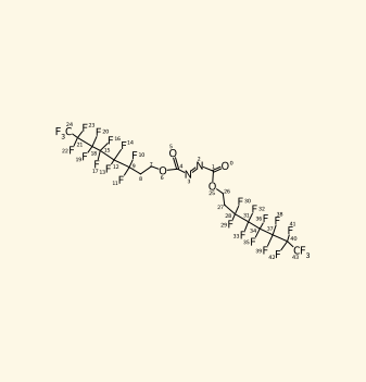 O=C(N=NC(=O)OCCC(F)(F)C(F)(F)C(F)(F)C(F)(F)C(F)(F)C(F)(F)F)OCCC(F)(F)C(F)(F)C(F)(F)C(F)(F)C(F)(F)C(F)(F)F